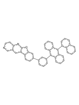 c1cc(-c2ccc3c(c2)oc2nc4ccncc4cc23)cc(-c2c3ccccc3c(-c3cccc4ccccc34)c3ccccc23)c1